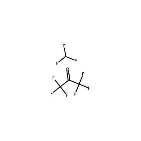 FC(F)Cl.O=C(C(F)(F)F)C(F)(F)F